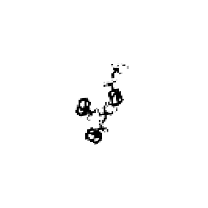 CC(F)(F)COC(=O)C12CC3CC(C1)C1(OCC(COC(=O)C45CC6CC(CC(C6)C4)C5)(COC(=O)C45CC6CC(C4)C(=O)C(C6)C5)CO1)C(C3)C2